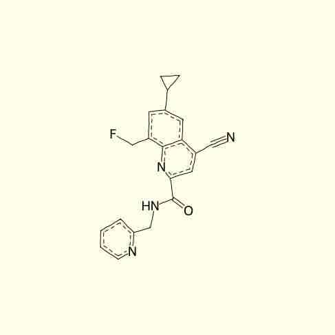 N#Cc1cc(C(=O)NCc2ccccn2)nc2c(CF)cc(C3CC3)cc12